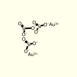 O=[Si]([O-])[O-].O=[Si]([O-])[O-].O=[Si]([O-])[O-].[Au+3].[Au+3]